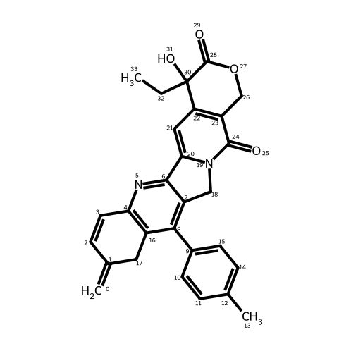 C=C1C=Cc2nc3c(c(-c4ccc(C)cc4)c2C1)Cn1c-3cc2c(c1=O)COC(=O)C2(O)CC